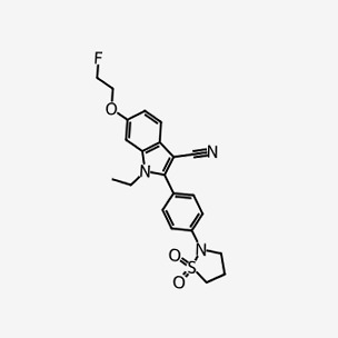 CCn1c(-c2ccc(N3CCCS3(=O)=O)cc2)c(C#N)c2ccc(OCCF)cc21